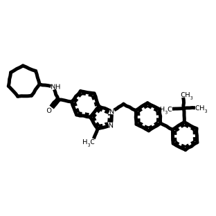 Cc1nn(Cc2ccc(-c3ccccc3C(C)(C)C)cc2)c2ccc(C(=O)NC3CCCCCC3)cc12